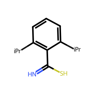 CC(C)c1cccc(C(C)C)c1C(=N)S